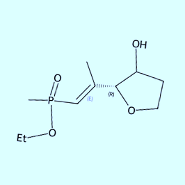 CCOP(C)(=O)/C=C(\C)[C@H]1OCCC1O